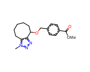 COC(=O)c1ccc(COC2CCCCCc3c2nnn3C)cc1